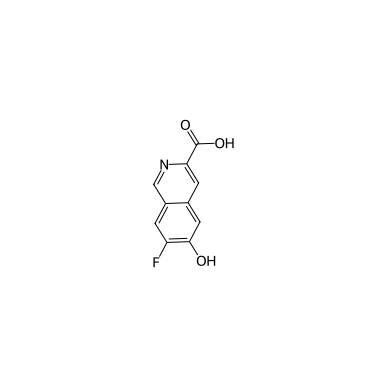 O=C(O)c1cc2cc(O)c(F)cc2cn1